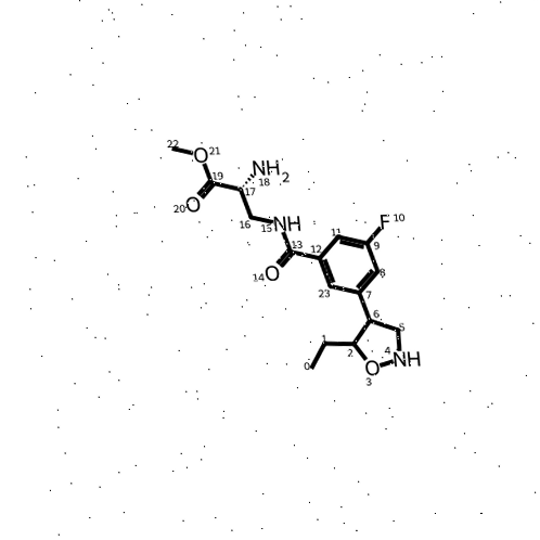 CCC1ONCC1c1cc(F)cc(C(=O)NC[C@@H](N)C(=O)OC)c1